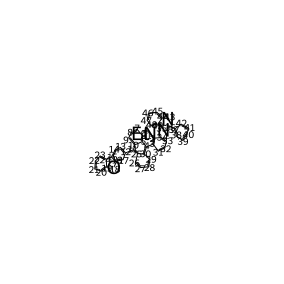 CCN1c2c(-c3c4ccccc4c(-c4ccc5c(c4)oc4ccccc45)c4ccccc34)cccc2-n2c(-c3ccccc3)nc3cccc1c32